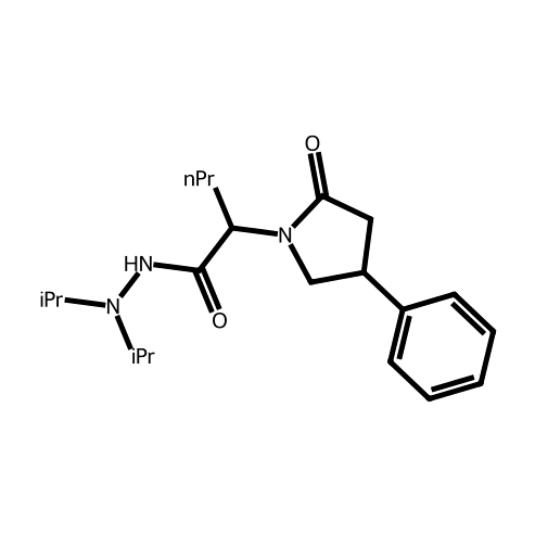 CCCC(C(=O)NN(C(C)C)C(C)C)N1CC(c2ccccc2)CC1=O